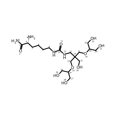 NC(=O)[C@H](N)CCCCNC(=O)NCC(CO)(COC(CO)CO)COC(CO)CO